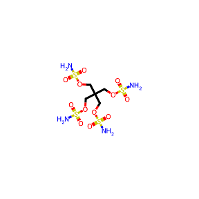 NS(=O)(=O)OCC(COS(N)(=O)=O)(COS(N)(=O)=O)COS(N)(=O)=O